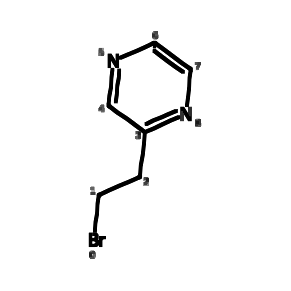 BrCCc1cn[c]cn1